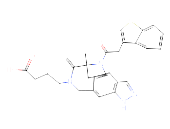 C=C(N(CCCC(=O)O)Cc1ccc2cn[nH]c2c1)C1(C)CCN1C(=O)Cc1csc2ccccc12